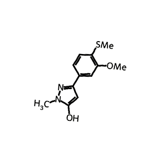 COc1cc(-c2cc(O)n(C)n2)ccc1SC